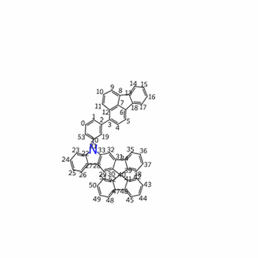 c1cc(-c2ccc3c4c(cccc24)-c2ccccc2-3)cc(-n2c3ccccc3c3cc4c(cc32)-c2ccccc2C42c3ccccc3-c3ccccc32)c1